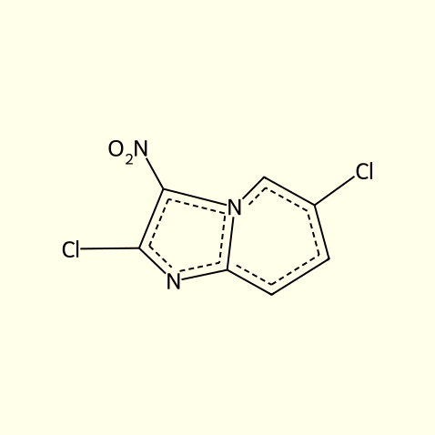 O=[N+]([O-])c1c(Cl)nc2ccc(Cl)cn12